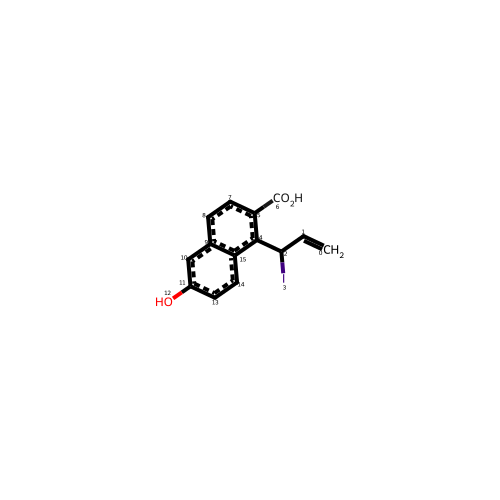 C=CC(I)c1c(C(=O)O)ccc2cc(O)ccc12